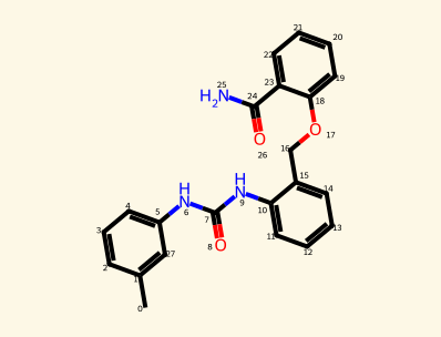 Cc1cccc(NC(=O)Nc2ccccc2COc2ccccc2C(N)=O)c1